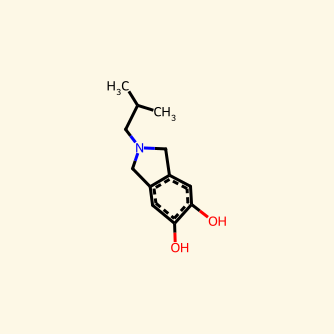 CC(C)CN1Cc2cc(O)c(O)cc2C1